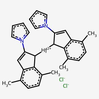 Cc1ccc(C)c2c1C=C(n1cccc1)[CH]2[Hf+2][CH]1C(n2cccc2)=Cc2c(C)ccc(C)c21.[Cl-].[Cl-]